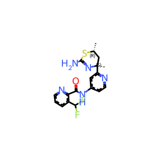 C[C@@H]1C[C@@](C)(c2cc(NC(=O)c3ncccc3C(F)F)ccn2)N=C(N)S1